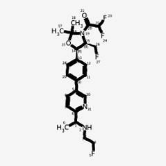 CC(NCCF)c1ccc(-c2ccc([C@H]3OC(C)(C)N(C(=O)C(F)F)[C@H]3CF)cc2)cn1